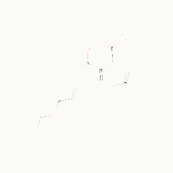 C=C(CC(=O)O)C(=O)O.C=C(Cl)Cl.C=CC(=O)OCC